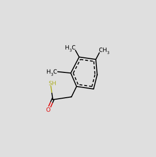 Cc1ccc(CC(=O)S)c(C)c1C